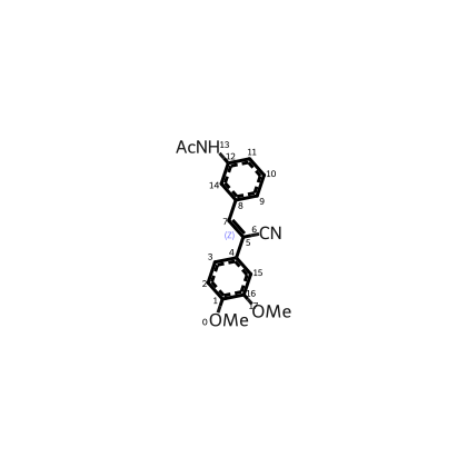 COc1ccc(/C(C#N)=C/c2cccc(NC(C)=O)c2)cc1OC